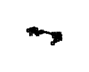 Cc1sc2c(c1C)C(c1ccc(Cl)cc1)=N[C@@H](CC(=O)NCCCCCCCCN1CCN(c3cc(CC(=O)N(C)C4CCC(=O)NC4=O)ccn3)CC1)c1nnc(C)n1-2